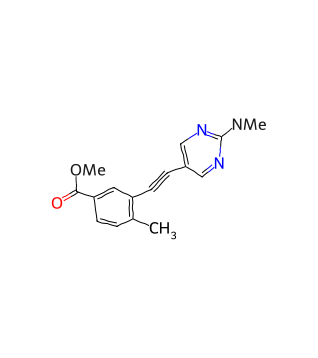 CNc1ncc(C#Cc2cc(C(=O)OC)ccc2C)cn1